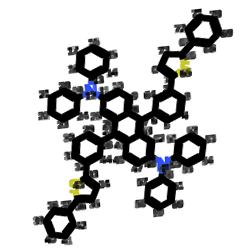 C1=C(c2cccc(-c3c4ccc(N(c5ccccc5)c5ccccc5)cc4c(-c4cccc(-c5ccc(-c6ccccc6)s5)c4)c4ccc(N(c5ccccc5)c5ccccc5)cc34)c2)SC(c2ccccc2)C1